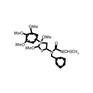 COc1cc(S2(OC)CC(N(Cc3ccccc3)C(=O)N(C)O)SC2OC)cc(OC)c1OC